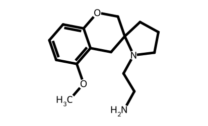 COc1cccc2c1CC1(CCCN1CCN)CO2